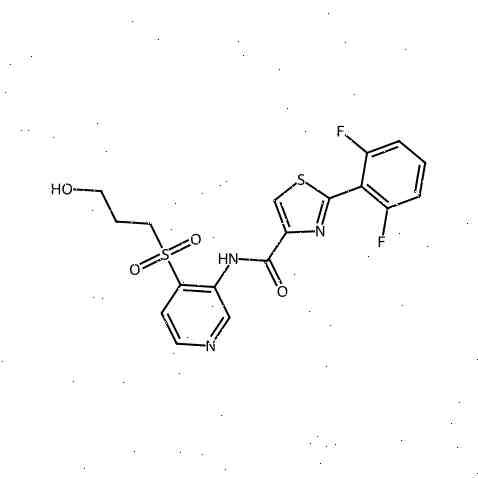 O=C(Nc1cnccc1S(=O)(=O)CCCO)c1csc(-c2c(F)cccc2F)n1